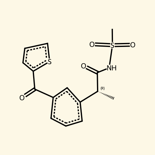 C[C@@H](C(=O)NS(C)(=O)=O)c1cccc(C(=O)c2cccs2)c1